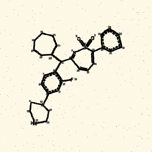 O=S1(=O)N=C(C(c2ccc(N3CCNCC3)cc2F)C2CCCCCC2)C=CC=C1c1ccccc1